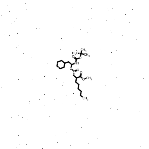 CCCCCCC(C[PH](=O)OC(CC1CCCCC1)NC(=O)OC(C)(C)C)C(=O)OC